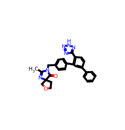 CC1=NC2(CCOC2)C(=O)N1Cc1ccc(-c2cc(-c3ccccc3)ccc2-c2nn[nH]n2)cc1